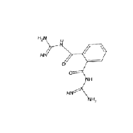 N=C(N)NC(=O)c1ccccc1C(=O)NC(=N)N